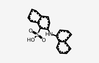 O=S(=O)(O)c1c(Nc2cccc3ccccc23)ccc2ccccc12